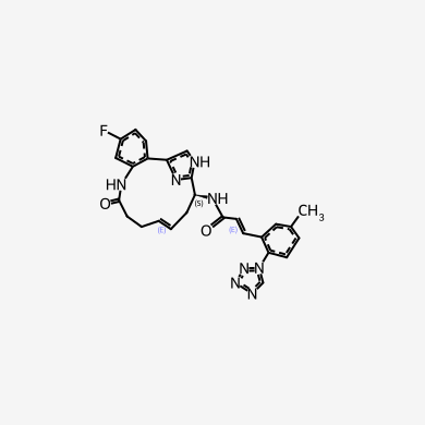 Cc1ccc(-n2cnnn2)c(/C=C/C(=O)N[C@H]2C/C=C/CCC(=O)Nc3cc(F)ccc3-c3c[nH]c2n3)c1